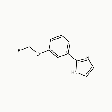 FCOc1cccc(-c2ncc[nH]2)c1